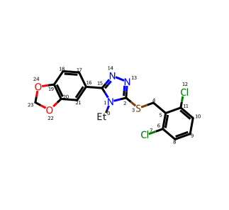 CCn1c(SCc2c(Cl)cccc2Cl)nnc1-c1ccc2c(c1)OCO2